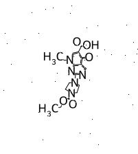 CCOC(=O)N1CCN(c2ncc3c(=O)c(C(=O)O)cn(CC)c3n2)CC1